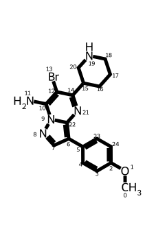 COc1ccc(-c2cnn3c(N)c(Br)c(C4CCCNC4)nc23)cc1